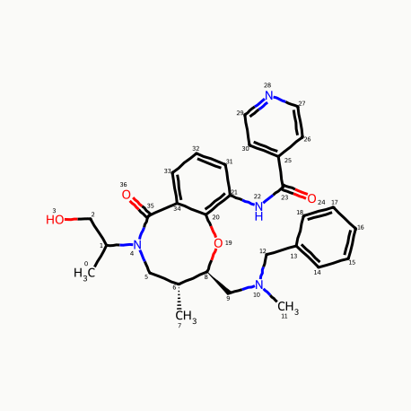 CC(CO)N1C[C@@H](C)[C@H](CN(C)Cc2ccccc2)Oc2c(NC(=O)c3ccncc3)cccc2C1=O